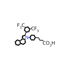 O=C(O)CCCc1ccc(-n2c(-c3cc(C(F)(F)F)cc(C(F)(F)F)c3)cc3c4ccccc4ccc32)cc1